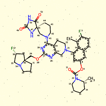 CCc1c(F)ccc2cc(OC(=O)N3CCCC[C@H]3C)cc(N3CCc4c(nc(OC[C@@]56CCCN5C[C@H](F)C6)nc4N4CCC[C@]5(C4)NC(=O)NC5=O)C3)c12